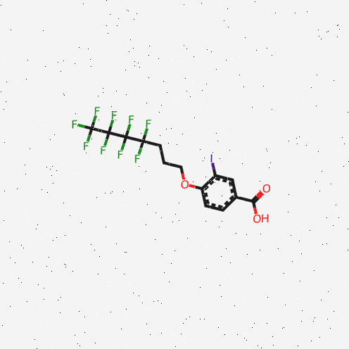 O=C(O)c1ccc(OCCCC(F)(F)C(F)(F)C(F)(F)C(F)(F)F)c(I)c1